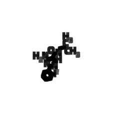 CC(C)CNC(=O)c1cnc(-c2ccccc2F)nc1N